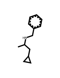 CC(CC1CC1)NCc1ccccc1